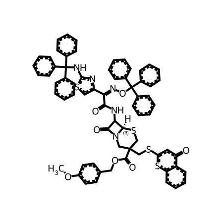 COc1ccc(COC(=O)C2(CSc3cc(=O)c4ccccc4s3)CS[C@@H]3C(NC(=O)C(=NOC(c4ccccc4)(c4ccccc4)c4ccccc4)c4csc(NC(c5ccccc5)(c5ccccc5)c5ccccc5)n4)C(=O)N3C2)cc1